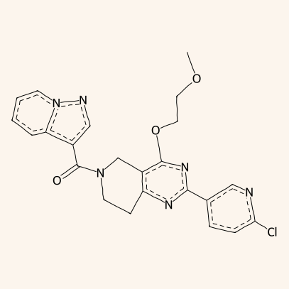 COCCOc1nc(-c2ccc(Cl)nc2)nc2c1CN(C(=O)c1cnn3ccccc13)CC2